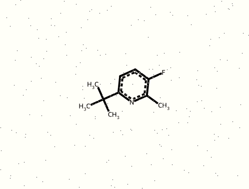 Cc1nc(C(C)(C)C)ccc1F